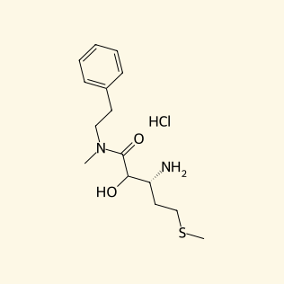 CSCC[C@@H](N)C(O)C(=O)N(C)CCc1ccccc1.Cl